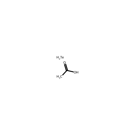 CC(=O)O.[TeH2]